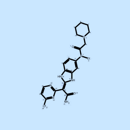 CCN(C(=O)CN1CCCCC1)c1ccc2c(c1)N/C(=C(\C(N)=O)c1nccc(C(F)(F)F)n1)N2